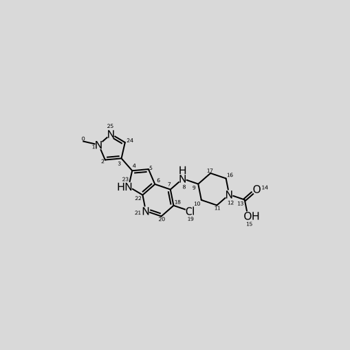 Cn1cc(-c2cc3c(NC4CCN(C(=O)O)CC4)c(Cl)cnc3[nH]2)cn1